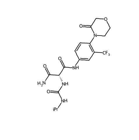 CC(C)NC(=O)N[C@H](C(N)=O)C(=O)Nc1ccc(N2CCOCC2=O)c(C(F)(F)F)c1